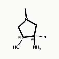 CN1C[C@@H](O)[C@](C)(N)C1